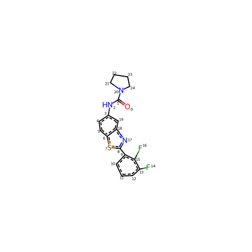 O=C(Nc1ccc2sc(-c3cccc(F)c3F)nc2c1)N1CCCC1